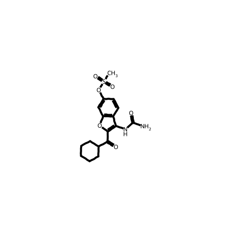 CS(=O)(=O)Oc1ccc2c(NC(N)=O)c(C(=O)C3CCCCC3)oc2c1